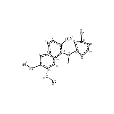 CCOc1cc2ncc(C#N)c(N(C)c3cccc(Br)c3)c2cc1OCC